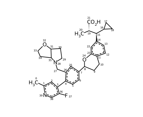 Cc1cc(-c2ccc(C3CCc4ccc([C@H](C5CC5)[C@H](C)C(=O)O)cc4O3)cc2CN2CCC3OCCC32)c(F)cn1